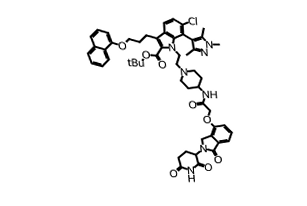 Cc1nn(C)c(C)c1-c1c(Cl)ccc2c(CCCOc3cccc4ccccc34)c(C(=O)OC(C)(C)C)n(CCN3CCC(NC(=O)COc4cccc5c4CN(C4CCC(=O)NC4=O)C5=O)CC3)c12